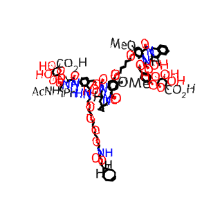 COc1cc2c(cc1OCCCCCOc1cc3c(cc1OC)C(=O)N1CC4(CC4)C[C@H]1[C@H](O)N3C(=O)OCc1ccc(NC(=O)[C@H](CO[C@@H]3O[C@H](C(=O)O)[C@@H](O)[C@H](O)[C@H]3O)NC(=O)[C@@H](NC(C)=O)C(C)C)cc1C(=O)NCCOCCOCCOCCOCCNC(=O)OCC1[C@H]3CCC#CCC[C@@H]13)N(C(=O)OCc1ccc(O[C@@H]3O[C@H](C(=O)O)[C@@H](O)[C@H](O)[C@H]3O)cc1)[C@@H](O)[C@@H]1Cc3ccccc3CN1C2=O